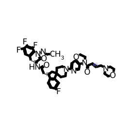 Cc1nnc([C@@H](Cc2cc(F)c(F)c(F)c2)NC(=O)C[C@@H]2CC3(CCN(c4cc5c(cn4)N(C(=O)/C=C/CN4CCOCC4)CCO5)CC3)c3cc(F)ccc32)o1